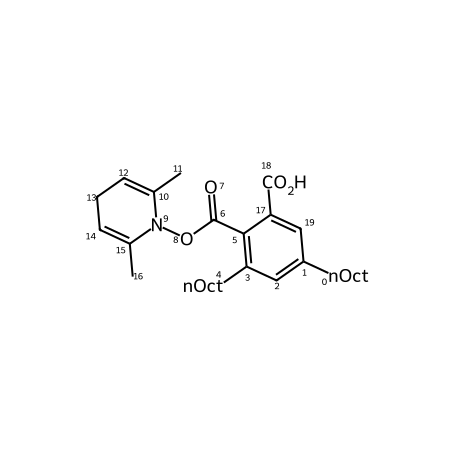 CCCCCCCCc1cc(CCCCCCCC)c(C(=O)ON2C(C)=CCC=C2C)c(C(=O)O)c1